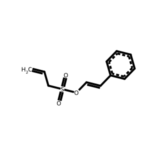 C=CCS(=O)(=O)OC=Cc1ccccc1